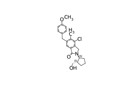 COc1ccc(Cc2cc3c(c(Cl)c2C)CN([C@H]2CCC[C@@H]2CO)C3=O)cc1